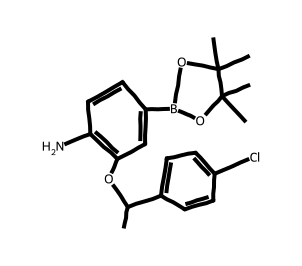 CC(Oc1cc(B2OC(C)(C)C(C)(C)O2)ccc1N)c1ccc(Cl)cc1